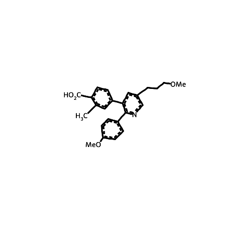 COCCCc1cnc(-c2ccc(OC)cc2)c(-c2ccc(C(=O)O)c(C)c2)c1